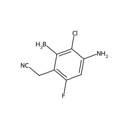 Bc1c(Cl)c(N)cc(F)c1CC#N